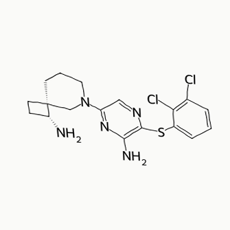 Nc1nc(N2CCC[C@]3(CC[C@H]3N)C2)cnc1Sc1cccc(Cl)c1Cl